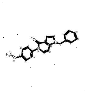 O=c1c2ccn(Cc3ccccc3)c2ccn1-c1ccc(OC(F)(F)F)cc1